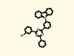 Brc1cccc(-c2nc(-c3ccccc3)nc(-c3cccc(-n4c5ccccc5c5ccccc54)c3)n2)c1